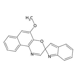 COc1cc2ccccc2c2c1OC1(C=N2)C=c2ccccc2=N1